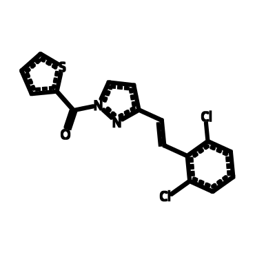 O=C(c1cccs1)n1ccc(C=Cc2c(Cl)cccc2Cl)n1